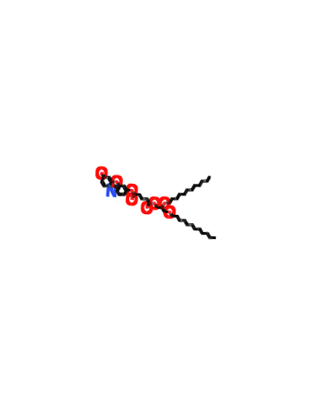 CCCCCCCCCCCCOCC(COC(=O)CCCC(=O)Oc1ccc2nc3ccc(=O)cc-3oc2c1)OCCCCCCCCCCCC